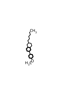 CCCCCCC1CCc2cc(-c3ccc(OC)cc3)ccc2C1